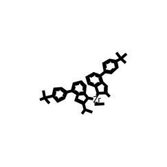 C[CH]=[Zr]([CH]1C(C)=Cc2c(-c3ccc(C(C)(C)C)cc3)cccc21)[CH]1C(C(C)C)=Cc2c(-c3ccc(C(C)(C)C)cc3)cccc21